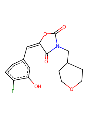 O=C1OC(=Cc2ccc(F)c(O)c2)C(=O)N1CC1CCOCC1